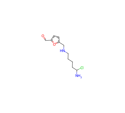 NC(Cl)CCCCNCc1ccc(C=O)o1